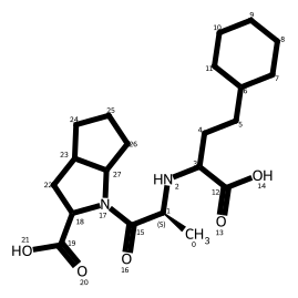 C[C@H](NC(CCC1CCCCC1)C(=O)O)C(=O)N1C(C(=O)O)CC2CCCC21